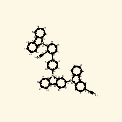 N#Cc1ccc2c(c1)c1ccccc1n2-c1ccc2c3ccccc3n(-c3ccc(-c4cccc(-n5c6ccccc6c6ccccc65)c4C#N)cc3)c2c1